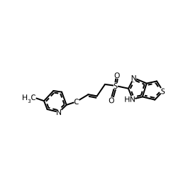 Cc1ccc(CC=CCS(=O)(=O)c2nc3cscc3[nH]2)nc1